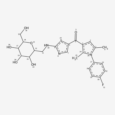 Cc1cc(C(=O)c2cnc(NCC3OC(CO)C(O)C(O)C3O)s2)c(C)n1-c1ccc(F)cc1